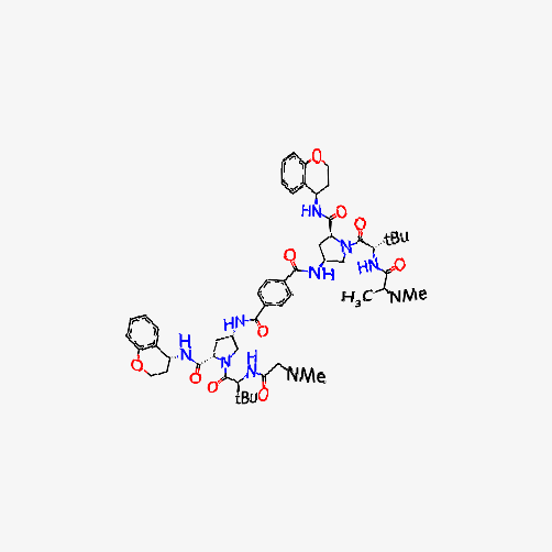 CNCC(=O)N[C@H](C(=O)N1C[C@@H](NC(=O)c2ccc(C(=O)N[C@H]3C[C@@H](C(=O)N[C@@H]4CCOc5ccccc54)N(C(=O)[C@@H](NC(=O)[C@H](C)NC)C(C)(C)C)C3)cc2)C[C@H]1C(=O)N[C@@H]1CCOc2ccccc21)C(C)(C)C